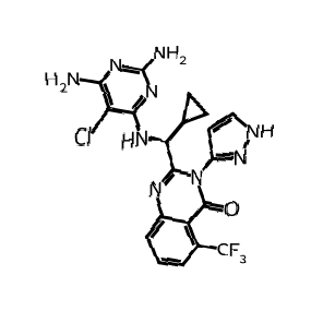 Nc1nc(N)c(Cl)c(N[C@H](c2nc3cccc(C(F)(F)F)c3c(=O)n2-c2cc[nH]n2)C2CC2)n1